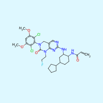 C=CC(=O)NC1CCC(C2CCCC2)CC1Nc1ncc2c(n1)N(CCF)C(=O)N(c1c(Cl)c(OC)cc(OC)c1Cl)C2